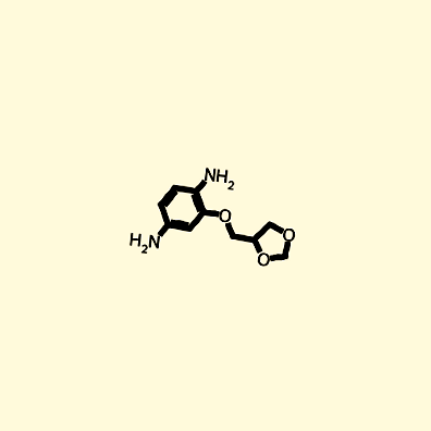 Nc1ccc(N)c(OCC2COCO2)c1